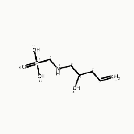 C=CCC(O)CNCP(=O)(O)O